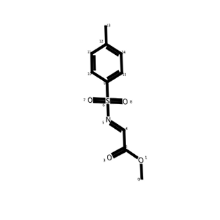 COC(=O)C=NS(=O)(=O)c1ccc(C)cc1